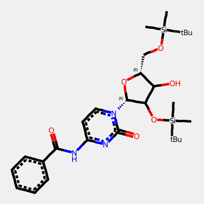 CC(C)(C)[Si](C)(C)OC[C@H]1O[C@@H](n2ccc(NC(=O)c3ccccc3)nc2=O)C(O[Si](C)(C)C(C)(C)C)C1O